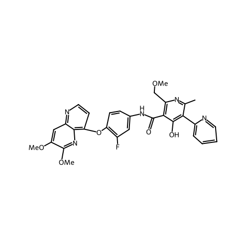 COCc1nc(C)c(-c2ccccn2)c(O)c1C(=O)Nc1ccc(Oc2ccnc3cc(OC)c(OC)nc23)c(F)c1